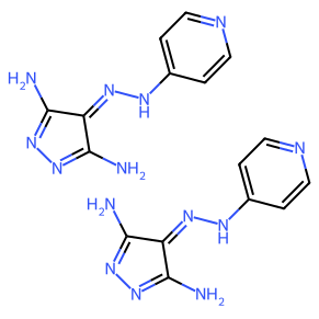 NC1=NN=C(N)C1=NNc1ccncc1.NC1=NN=C(N)C1=NNc1ccncc1